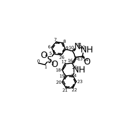 CCS(=O)(=O)c1cccc(C2=NNC(=O)C2=C2C=Cc3ccccc3N2)c1